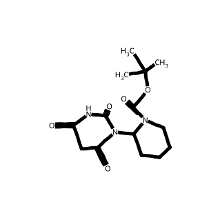 CC(C)(C)OC(=O)N1CCCCC1N1C(=O)CC(=O)NC1=O